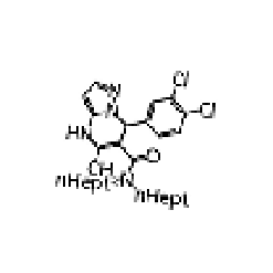 CCCCCCCN(CCCCCCC)C(=O)C1=C(C)Nc2ccnn2C1c1ccc(Cl)c(Cl)c1